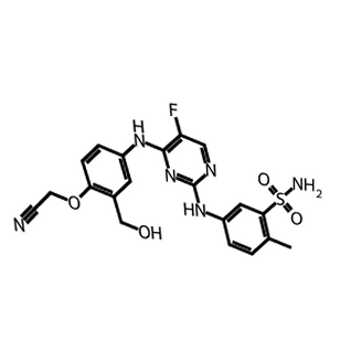 Cc1ccc(Nc2ncc(F)c(Nc3ccc(OCC#N)c(CO)c3)n2)cc1S(N)(=O)=O